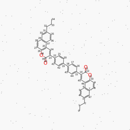 CCCc1ccc2c(ccc3oc(=O)c(-c4ccc(-c5ccc(-c6cc7c(ccc8cc(CCC)ccc87)oc6=O)cc5)cc4)cc32)c1